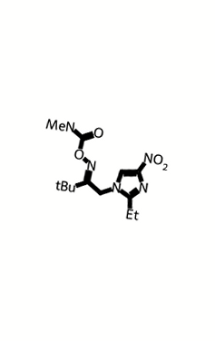 CCc1nc([N+](=O)[O-])cn1CC(=NOC(=O)NC)C(C)(C)C